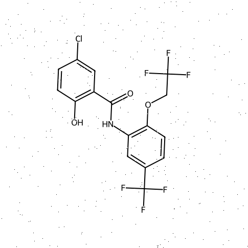 O=C(Nc1cc(C(F)(F)F)ccc1OCC(F)(F)F)c1cc(Cl)ccc1O